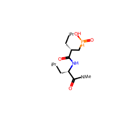 CNC(=O)[C@H](CC(C)C)NC(=O)[C@H](CC(C)C)C[PH](=O)O